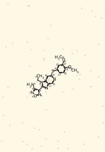 CCn1c(-c2nonc2N)nc2cnc(Sc3ccc(OC)c(OC)c3)cc21